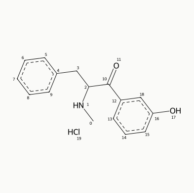 CNC(Cc1ccccc1)C(=O)c1cccc(O)c1.Cl